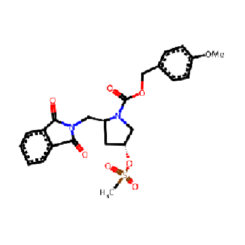 COc1ccc(COC(=O)N2C[C@H](OS(C)(=O)=O)C[C@H]2CN2C(=O)c3ccccc3C2=O)cc1